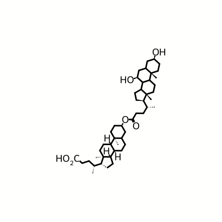 C[C@H](CCC(=O)O)[C@H]1CC[C@H]2[C@@H]3CCC4C[C@H](OC(=O)CC[C@@H](C)[C@H]5CCC6C7C(CC[C@@]65C)[C@@]5(C)CC[C@H](O)CC5C[C@@H]7O)CC[C@]4(C)[C@H]3CC[C@]12C